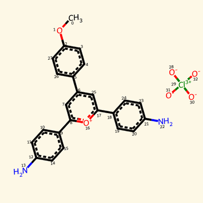 COc1ccc(-c2cc(-c3ccc(N)cc3)[o+]c(-c3ccc(N)cc3)c2)cc1.[O-][Cl+3]([O-])([O-])[O-]